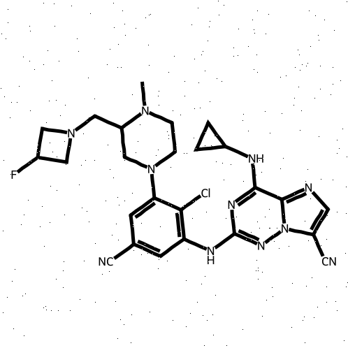 CN1CCN(c2cc(C#N)cc(Nc3nc(NC4CC4)c4ncc(C#N)n4n3)c2Cl)CC1CN1CC(F)C1